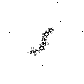 C[C@@H]1CN(Cc2ccc(-c3ccco3)cc2)C[C@H](C)N1Cc1ccc(C=CC(=O)NO)cc1